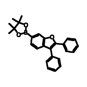 CC1(C)OB(c2ccc3c(-c4ccccc4)c(-c4ccccc4)oc3c2)OC1(C)C